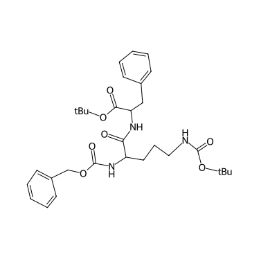 CC(C)(C)OC(=O)NCCCC(NC(=O)OCc1ccccc1)C(=O)NC(Cc1ccccc1)C(=O)OC(C)(C)C